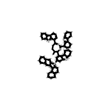 CC1CC/C(c2cccc3c2sc2ccccc23)=N\C(c2cccc3c2sc2ccccc23)=N/C1c1cc(-n2c3cc4ccccc4cc3c3c4ccccc4ccc32)cc2sc3ccccc3c12